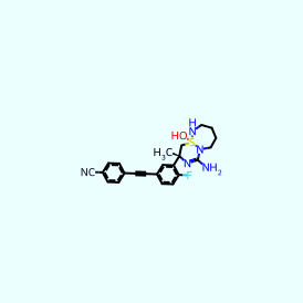 C[C@@]1(c2cc(C#Cc3ccc(C#N)cc3)ccc2F)CS2(O)NCCCCN2C(N)=N1